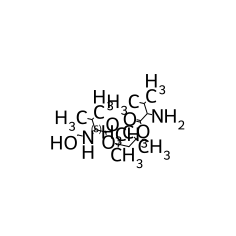 CC(C)C(N)C(=O)OC(C)(C)CC(C)(C)OC(=O)[C@@H](NCO)C(C)C